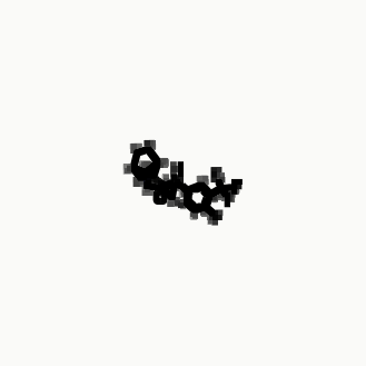 O=C(Nc1ccc(F)c(C(F)(F)F)c1)[C@H]1CC2CCC1/C2=C\C1CC1